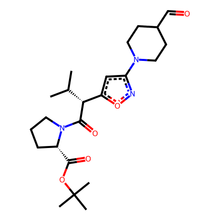 CC(C)[C@@H](C(=O)N1CCC[C@H]1C(=O)OC(C)(C)C)c1cc(N2CCC(C=O)CC2)no1